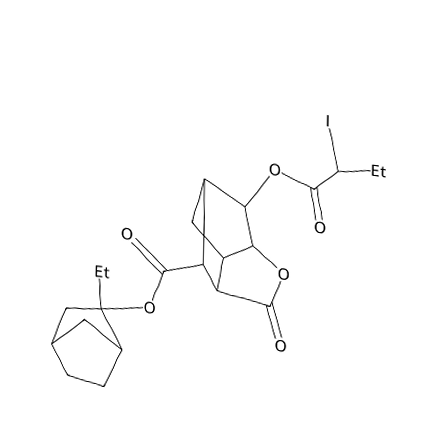 CCC(I)C(=O)OC1C2CC3C1OC(=O)C3C2C(=O)OC1(CC)CC2CCC1C2